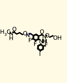 CNC(=O)CCCO/N=C/c1cc(C(=O)NOCCO)c(Nc2ccc(I)cc2F)c(F)c1F